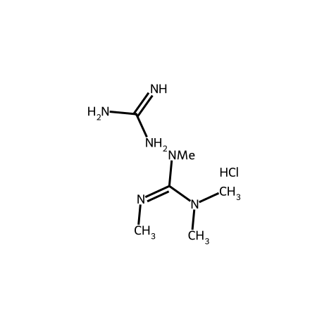 CN=C(NC)N(C)C.Cl.N=C(N)N